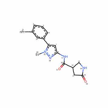 CCCc1cccc(-c2cc(NC(=O)C3CNC(=O)C3)nn2CC)c1